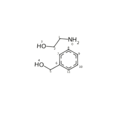 NCCO.OCc1ccccc1